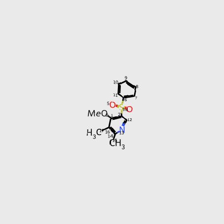 COc1c(S(=O)(=O)c2ccccc2)cnc(C)c1C